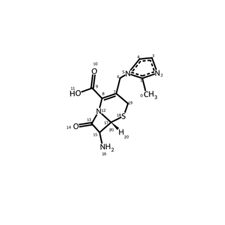 Cc1nccn1CC1=C(C(=O)O)N2C(=O)C(N)[C@H]2SC1